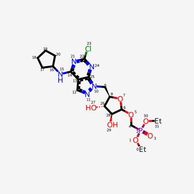 CCOP(=O)(COC1O[C@H](Cn2ncc3c(NC4CCCC4)nc(Cl)nc32)[C@@H](O)[C@@H]1O)OCC